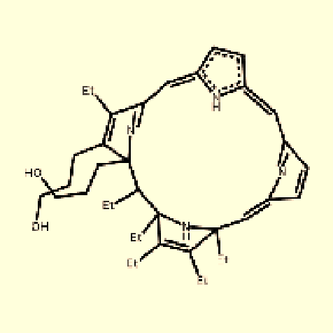 CCC1=C(CCCO)C2(CCCO)N=C1C=c1ccc([nH]1)=CC1=NC(=CC3(CC)NC(CC)(C(CC)=C3CC)C2CC)C=C1